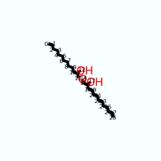 C=CCCCCCCCCCC(O)COCC(O)CCCCCCCCCC=C